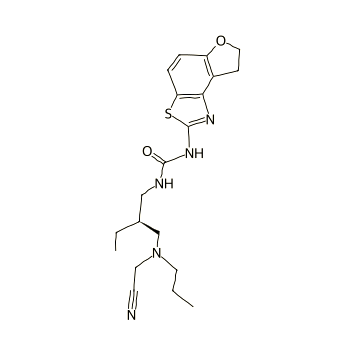 CCCN(CC#N)C[C@@H](CC)CNC(=O)Nc1nc2c3c(ccc2s1)OCC3